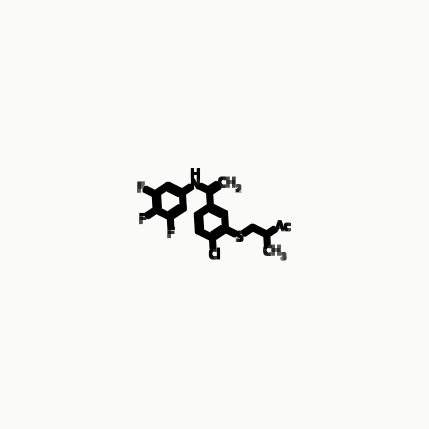 C=C(Nc1cc(F)c(F)c(F)c1)c1ccc(Cl)c(SCC(C)C(C)=O)c1